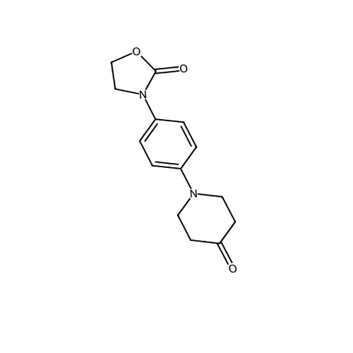 O=C1CCN(c2ccc(N3CCOC3=O)cc2)CC1